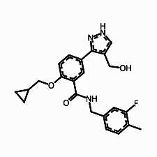 Cc1ccc(CNC(=O)c2cc(-c3n[nH]cc3CO)ccc2OCC2CC2)cc1F